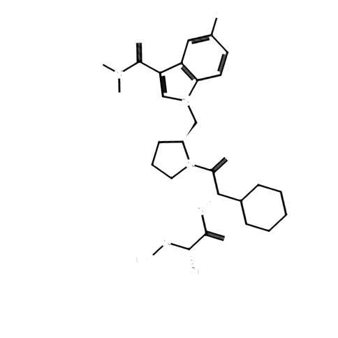 CN[C@@H](C)C(=O)N[C@H](C(=O)N1CCC[C@H]1Cn1cc(C(=O)N(C)C)c2cc(Cl)ccc21)C1CCCCC1